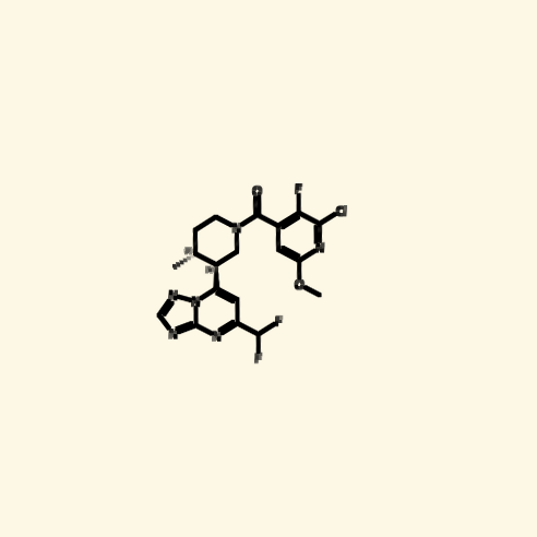 COc1cc(C(=O)N2CC[C@@H](C)[C@H](c3cc(C(F)F)nc4ncnn34)C2)c(F)c(Cl)n1